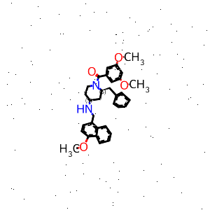 COc1cc(OC)cc(C(=O)N2CC[C@H](NCc3ccc(OC)c4ccccc34)C[C@@H]2Cc2ccccc2)c1